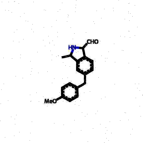 COc1ccc(Cc2ccc3c(c2)C(C)NC3C=O)cc1